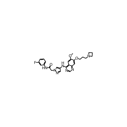 COc1cc2c(Nc3cnn(CC(=O)Nc4cccc(F)c4)c3)ncnc2cc1OCCCN1CCC1